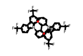 N#Cc1cccc(-n2c3ccc(C(F)(F)F)cc3c3cc(C(F)(F)F)ccc32)c1-c1ncccc1-n1c2ccc(C(F)(F)F)cc2c2cc(C(F)(F)F)ccc21